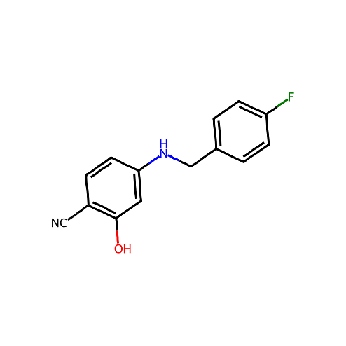 N#Cc1ccc(NCc2ccc(F)cc2)cc1O